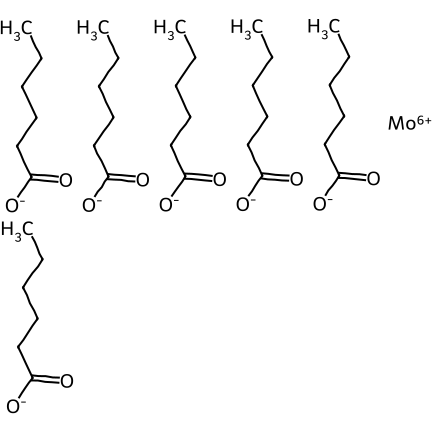 CCCCCC(=O)[O-].CCCCCC(=O)[O-].CCCCCC(=O)[O-].CCCCCC(=O)[O-].CCCCCC(=O)[O-].CCCCCC(=O)[O-].[Mo+6]